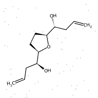 C=CC[C@@H](O)[C@@H]1CC[C@H]([C@@H](O)CC=C)O1